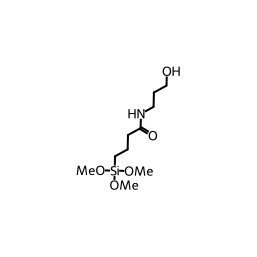 CO[Si](CCCC(=O)NCCCO)(OC)OC